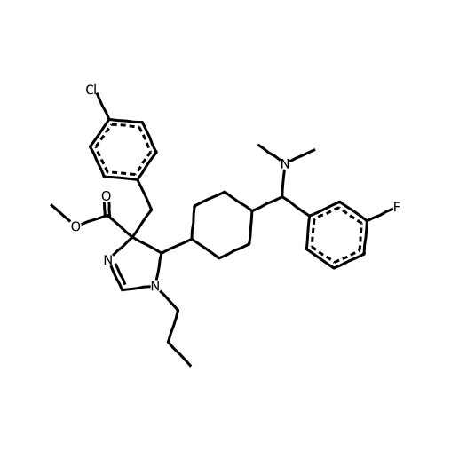 CCCN1C=NC(Cc2ccc(Cl)cc2)(C(=O)OC)C1C1CCC(C(c2cccc(F)c2)N(C)C)CC1